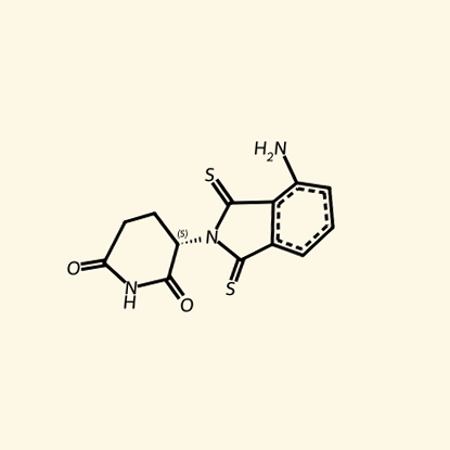 Nc1cccc2c1C(=S)N([C@H]1CCC(=O)NC1=O)C2=S